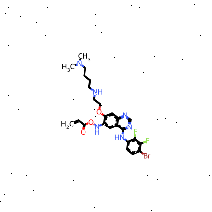 C=CC(=O)ONc1cc2c(Nc3ccc(Br)c(F)c3F)ncnc2cc1OCCNCCCCN(C)C